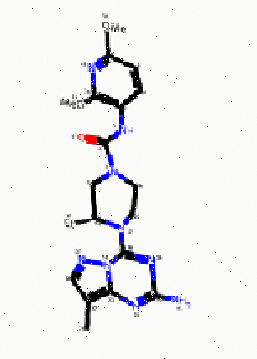 CC[C@H]1CN(C(=O)Nc2ccc(OC)nc2OC)CCN1c1nc(N)nc2c(C)cnn12